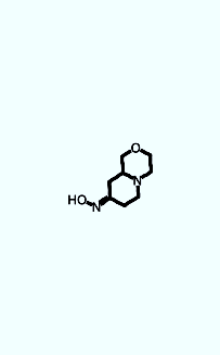 ON=C1CCN2CCOCC2C1